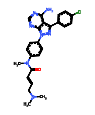 CN(C)CC=CC(=O)N(C)c1ccc(-n2nc(-c3ccc(Cl)cc3)c3c(N)ncnc32)cc1